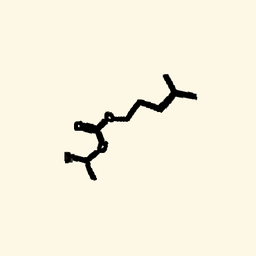 CC(C)CCCOC(=O)OC(C)Br